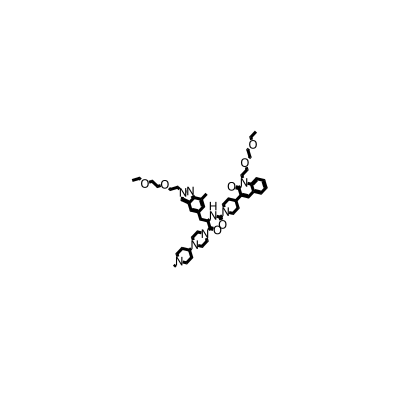 CCOCCOCCn1cc2cc(CC(NC(=O)N3CCC(c4cc5ccccc5n(CCOCCOCC)c4=O)CC3)C(=O)N3CCN(C4CCN(C)CC4)CC3)cc(C)c2n1